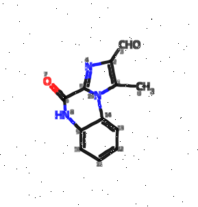 Cc1c(C=O)nc2c(=O)[nH]c3ccccc3n12